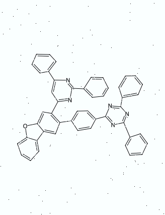 c1ccc(-c2cc(-c3cc4oc5ccccc5c4cc3-c3ccc(-c4nc(-c5ccccc5)nc(-c5ccccc5)n4)cc3)nc(-c3ccccc3)n2)cc1